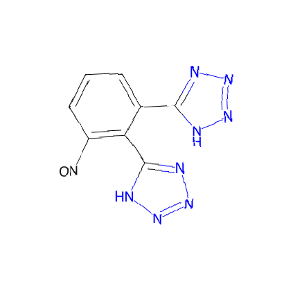 O=Nc1cccc(-c2nnn[nH]2)c1-c1nnn[nH]1